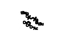 CC(C)(C)OOC(C)(C)CCC(C)(C)OOC(C)(C)C.CC(C)=O.O=C1C=CC(=O)O1